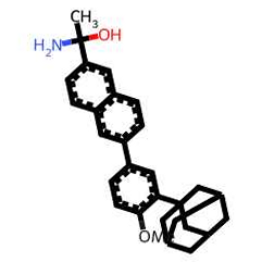 COc1ccc(-c2ccc3cc(C(C)(N)O)ccc3c2)cc1C12CC3CC(CC(C3)C1)C2